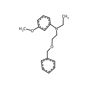 CCN(CCOCc1ccccc1)c1cccc(OC)c1